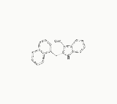 O=Cc1c(Cc2cccc3ccccc23)[nH]c2ccccc12